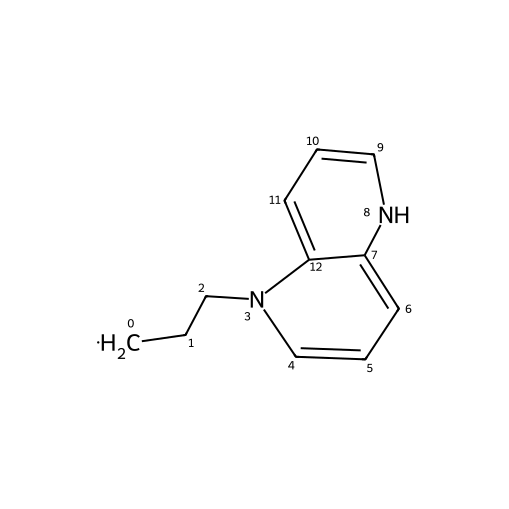 [CH2]CCN1C=CC=C2NC=CC=C21